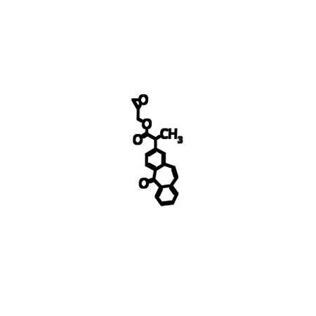 CC(C(=O)OCC1CO1)c1ccc2c(=O)c3ccccc3ccc2c1